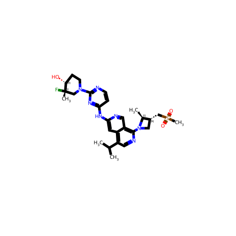 CC(C)c1cnc(N2C[C@@H](CS(C)(=O)=O)[C@@H]2C)c2cnc(Nc3ccnc(N4CC[C@@H](O)[C@@](C)(F)C4)n3)cc12